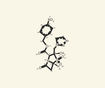 C[C@]1(Cn2ccnn2)[C@H](C(=O)OCc2ccc([N+](=O)[O-])cc2)N2C(=O)C[C@H]2S1(=O)=O